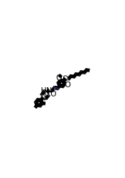 CCCCCCCCCOc1c(OC)cc(/C=C/C(=O)NN2CCN(c3ccc(C)cc3C)CC2)cc1OC